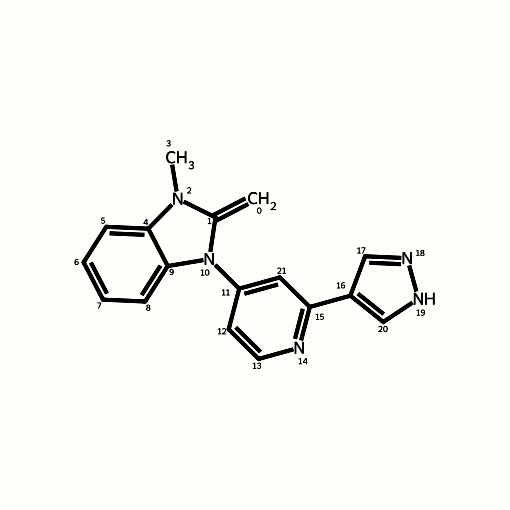 C=C1N(C)c2ccccc2N1c1ccnc(-c2cn[nH]c2)c1